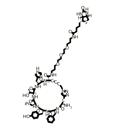 CC(C)C[C@@H]1NC(=O)[C@H](Cc2ccc(O)cc2)NC(=O)[C@H](Cc2ccccc2)NC(=O)[C@@H](N)Cc2cn(nn2)CCCC[C@@H](C(=O)NCCCOCCOCCOCCCNC(=O)CCCC[C@H]2SC[C@H]3NC(=O)N[C@H]32)NC(=O)[C@H](Cc2c[nH]cn2)NC(=O)[C@H]([C@H](C)O)NC1=O